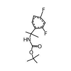 CC(C)(C)OC(=O)NC(C)(C)c1ccc(F)cc1F